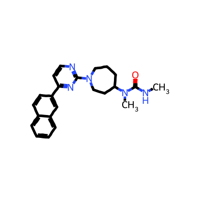 CNC(=O)N(C)C1CCCN(c2nccc(-c3ccc4ccccc4c3)n2)CC1